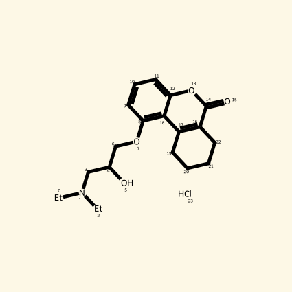 CCN(CC)CC(O)COc1cccc2oc(=O)c3c(c12)CCCC3.Cl